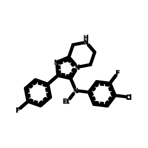 CCN(c1ccc(Cl)c(F)c1)c1c(-c2ccc(F)cc2)nc2n1CCNC2